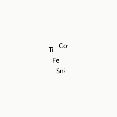 [Co].[Fe].[Sn].[Ti]